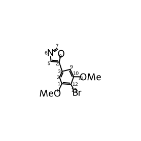 COc1cc(-c2cnco2)cc(OC)c1Br